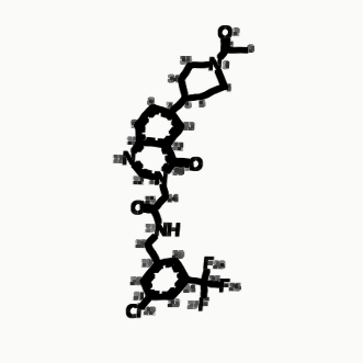 CC(=O)N1CCC(c2ccc3ncn(CC(=O)NCc4cc(Cl)cc(C(F)(F)F)c4)c(=O)c3c2)CC1